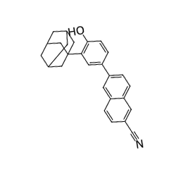 N#Cc1ccc2cc(-c3ccc(O)c(C45CC6CC(CC(C6)C4)C5)c3)ccc2c1